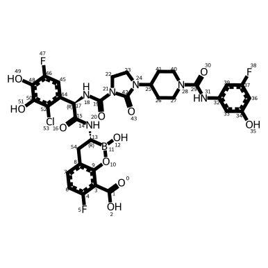 O=C(O)c1c(F)ccc2c1OB(O)[C@@H](NC(=O)[C@H](NC(=O)N1CCN(C3CCN(C(=O)Nc4cc(O)cc(F)c4)CC3)C1=O)c1cc(F)c(O)c(O)c1Cl)C2